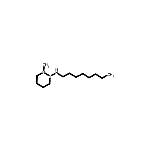 CCCCCCCCNN1CCCCN1C